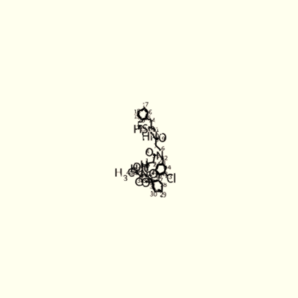 CCCC(=O)N(CCC(=O)NC[C@@H](S)Cc1ccccc1F)Cc1ccc(-c2ccccc2S(=O)(=O)NC(=O)[C@H](C)O)c(Cl)c1